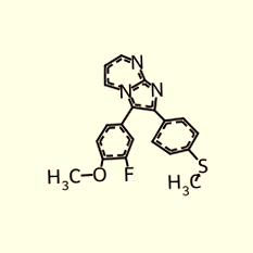 COc1ccc(-c2c(-c3ccc(SC)cc3)nc3ncccn23)cc1F